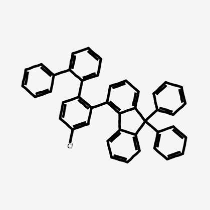 Clc1ccc(-c2ccccc2-c2ccccc2)c(-c2cccc3c2-c2ccccc2C3(c2ccccc2)c2ccccc2)c1